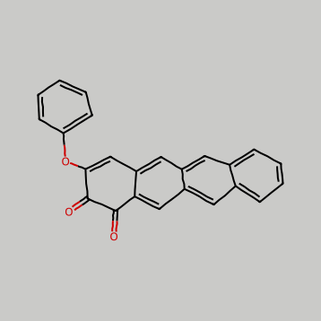 O=C1C(=O)c2cc3cc4ccccc4cc3cc2C=C1Oc1ccccc1